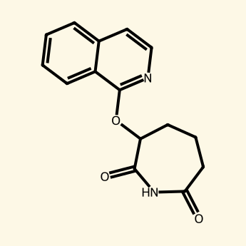 O=C1CCCC(Oc2nccc3ccccc23)C(=O)N1